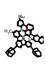 Cc1cc2c3c(c1)N(c1ccc(C(C)(C)C)cc1-c1ccccc1)c1ccc4c(oc5cc6ccccc6cc54)c1B3n1c3ccc(C45CC6CC(CC(C6)C4)C5)cc3c3cc(C45CC6CC(CC(C6)C4)C5)cc-2c31